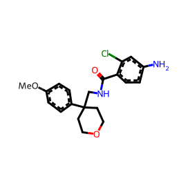 COc1ccc(C2(CNC(=O)c3ccc(N)cc3Cl)CCOCC2)cc1